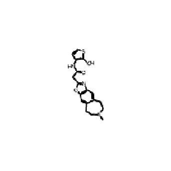 CN1CCc2cc3nc(CC(=O)Nc4ccsc4C#N)oc3cc2CC1